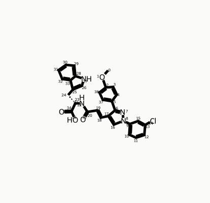 COc1ccc(-c2nn(-c3cccc(Cl)c3)cc2C=CC(=O)N[C@@H](Cc2c[nH]c3ccccc23)C(=O)O)cc1